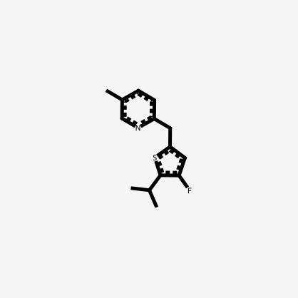 Cc1ccc(Cc2cc(F)c(C(C)C)s2)nc1